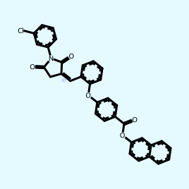 O=C(Oc1ccc2ccccc2c1)c1ccc(Oc2ccccc2/C=C2/CC(=O)N(c3cccc(Cl)c3)C2=O)cc1